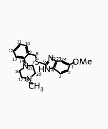 COc1ccc2[nH]c(SCc3ccccc3N3CCN(C)CC3)nc2c1